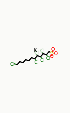 O=S(=O)([O-])CC(Cl)C(Cl)C(Cl)C(Cl)C(Cl)CCCCCCCl.[K+]